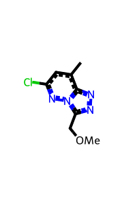 COCc1nnc2c(C)cc(Cl)nn12